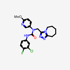 COc1ccc(N(Cc2nnc3n2CCCCC3)C(=O)Nc2ccc(F)c(Cl)c2)cn1